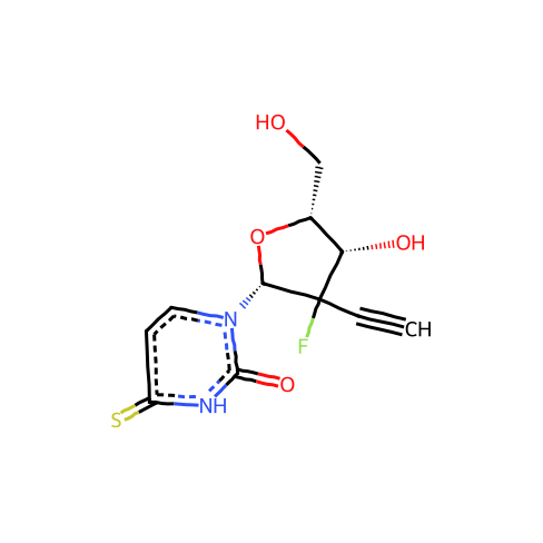 C#CC1(F)[C@@H](O)[C@@H](CO)O[C@H]1n1ccc(=S)[nH]c1=O